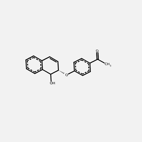 CC(=O)c1ccc(O[C@H]2C=Cc3ccccc3C2O)cc1